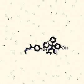 C=C(F)/C=C(\C=C\F)C1(c2ccc(O)cc2)c2ccccc2[N+]2=CC=C(NC3=CCC(/C(C)=C/C=C\C)C=C3)CC21